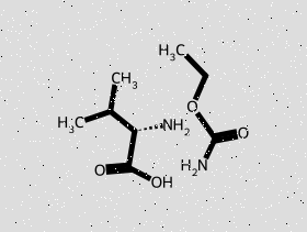 CC(C)[C@H](N)C(=O)O.CCOC(N)=O